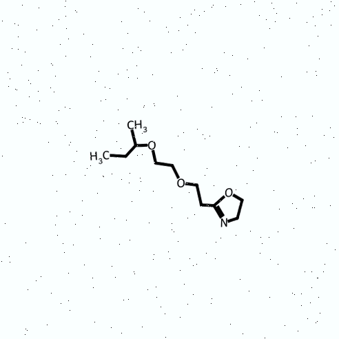 CCC(C)OCCOCCC1=NCCO1